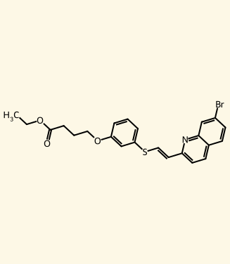 CCOC(=O)CCCOc1cccc(SC=Cc2ccc3ccc(Br)cc3n2)c1